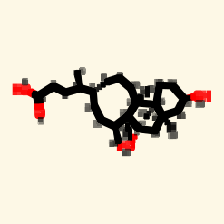 C[C@H](CCC(=O)O)[C@@H]1CCC[C@H]2[C@H]([C@@H](C)CC1)[C@@H](O)C[C@@H]1C[C@H](O)CC[C@@]12C